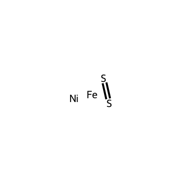 S=S.[Fe].[Ni]